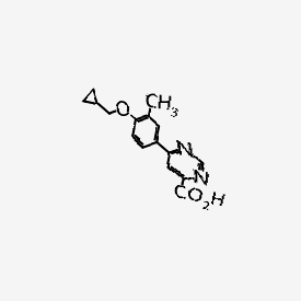 Cc1cc(-c2cc(C(=O)O)ncn2)ccc1OCC1CC1